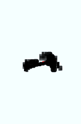 C[C@]12CCC(=O)CC1CC[C@@H]1[C@H]2C(OCCCCCCCCC(CCCC(F)(F)C(F)(F)F)C(=O)O)C[C@]2(C)C(O)CC[C@@H]12